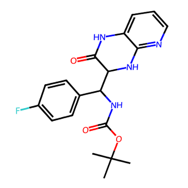 CC(C)(C)OC(=O)NC(c1ccc(F)cc1)C1Nc2ncccc2NC1=O